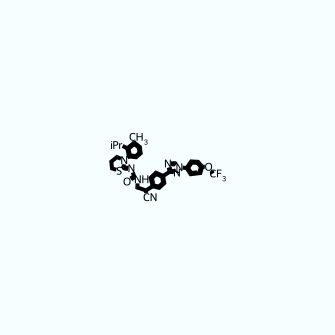 Cc1cccc(N2CCCS/C2=N\C(=O)NCC(C#N)c2ccc(-c3ncn(-c4ccc(OC(F)(F)F)cc4)n3)cc2)c1C(C)C